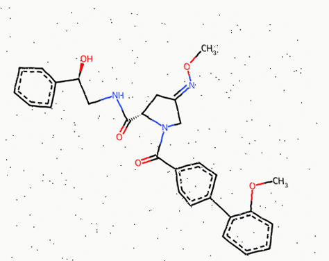 CO/N=C1\C[C@@H](C(=O)NC[C@H](O)c2ccccc2)N(C(=O)c2ccc(-c3ccccc3OC)cc2)C1